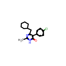 Cc1nc(CC2CCCCC2)c(-c2ccc(Cl)cc2)c(=O)[nH]1